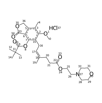 COc1c(C)c2c(c(OC(=O)C(C)(C)C)c1CC=C(C)CCC(=O)OCCN1CCOCC1)C(=O)OC2.Cl